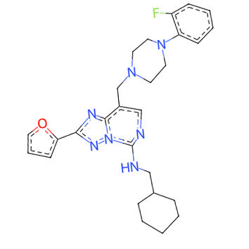 Fc1ccccc1N1CCN(Cc2cnc(NCC3CCCCC3)n3nc(-c4ccco4)nc23)CC1